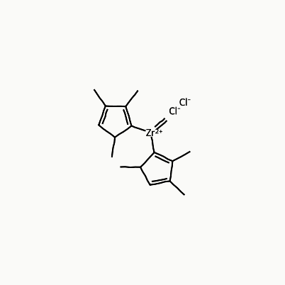 [CH2]=[Zr+2]([C]1=C(C)C(C)=CC1C)[C]1=C(C)C(C)=CC1C.[Cl-].[Cl-]